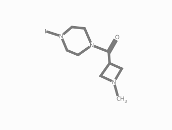 CN1CC(C(=O)N2CCN(I)CC2)C1